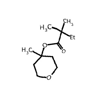 CCC(C)(C)C(=O)OC1(C)CCOCC1